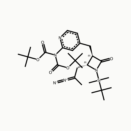 CC(C[C@@H]1[C@@H](Cc2ccnc(N(C(=O)OC(C)(C)C)C(=O)OC(C)(C)C)c2)C(=O)N1[Si](C)(C)C(C)(C)C)=[N+]=[N-]